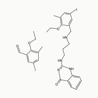 CCOc1c(C)cc(I)cc1C=O.CCOc1c(C)cc(I)cc1CNCCCNc1nc(=O)c2ccccc2[nH]1